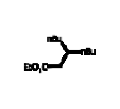 CCCCC(CCCC)CC(=O)OCC